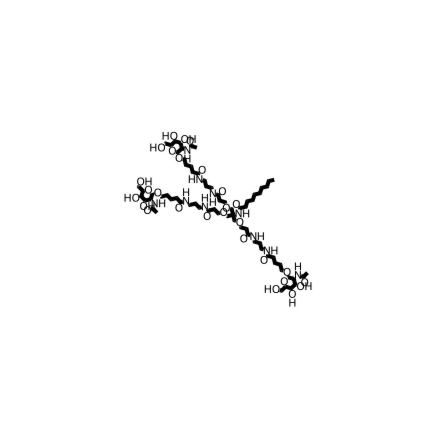 CCCCCCCCCC(=O)NC(COCCC(=O)NCCCNC(=O)CCCCO[C@@H]1OC(CO)[C@H](O)C(O)C1NC(C)=O)(COCCC(=O)NCCCNC(=O)CCCCO[C@@H]1OC(CO)[C@H](O)C(O)C1NC(C)=O)COCCC(=O)NCCCNC(=O)CCCCO[C@@H]1OC(CO)[C@H](O)C(O)C1NC(C)=O